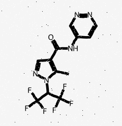 Cc1c(C(=O)Nc2ccnnc2)cnn1C(C(F)(F)F)C(F)(F)F